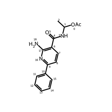 CC(=O)OC(C)NC(=O)c1ccc(-c2ccccc2)nc1N